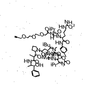 C#CCOCCOCCOCC(=O)N[C@H](C(=O)NC(CCCNC(N)=O)C(=O)Nc1ccc(COC(=O)N(C)[C@H](C(=O)N[C@H](C(=O)N(C)[C@@H](C(C)CC)C(CC(=O)N2CCCC2[C@H](OC)C(C)C(=O)NC(C)C(O)c2ccccc2)OC)C(C)C)C(C)C)cc1)C(C)C